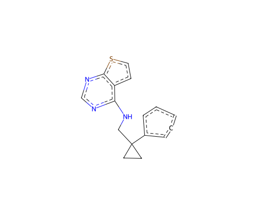 c1ccc(C2(CNc3ncnc4sccc34)CC2)cc1